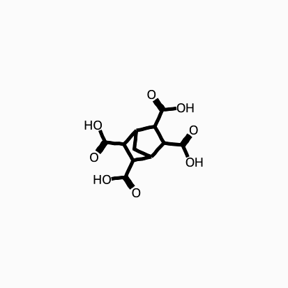 O=C(O)C1C2CC(C1C(=O)O)C(C(=O)O)C2C(=O)O